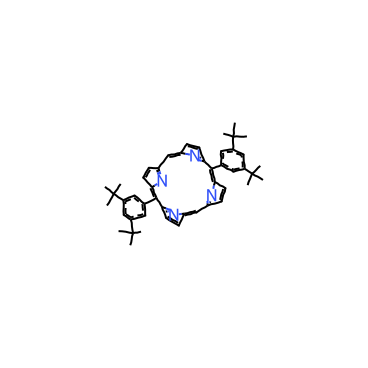 CC(C)(C)c1cc(C2=C3C=CC(=N3)C=C3C=CC(=N3)C(c3cc(C(C)(C)C)cc(C(C)(C)C)c3)=C3C=CC(=N3)C=C3C=CC2=N3)cc(C(C)(C)C)c1